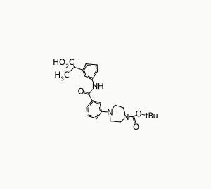 CC(C(=O)O)c1cccc(NC(=O)c2cccc(N3CCN(C(=O)OC(C)(C)C)CC3)c2)c1